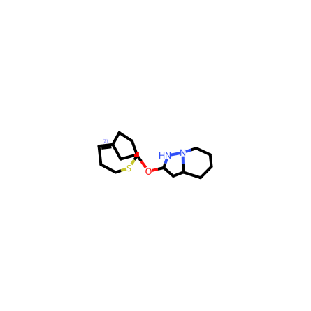 C1=C(\CCOC2CC3CCCCN3N2)CCCSCC/1